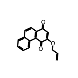 C=CCOC1=CC(=O)c2ccc3ccccc3c2C1=O